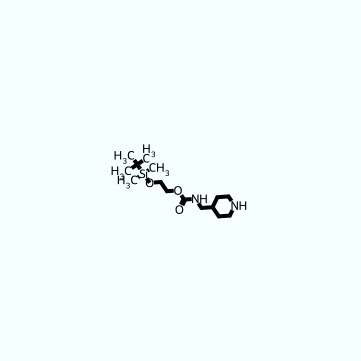 CC(C)(C)[Si](C)(C)OCCOC(=O)NCC1CCNCC1